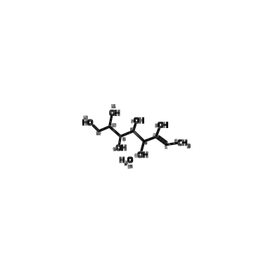 CC=C(O)C(O)C(O)C(O)C(O)CO.O